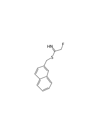 N=C(CF)SCc1ccc2ccccc2c1